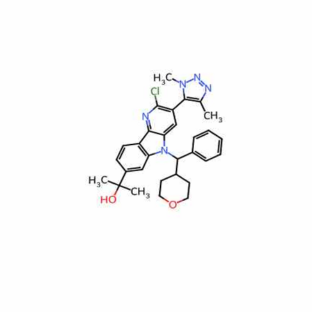 Cc1nnn(C)c1-c1cc2c(nc1Cl)c1ccc(C(C)(C)O)cc1n2C(c1ccccc1)C1CCOCC1